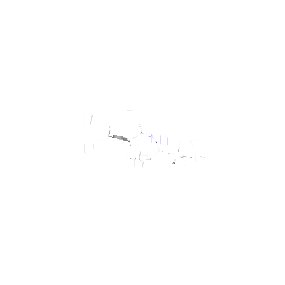 CCCC(NC(CC)C(C)=C(C)[SiH3])[Si](C(C)C)(C(C)C)C(C)C